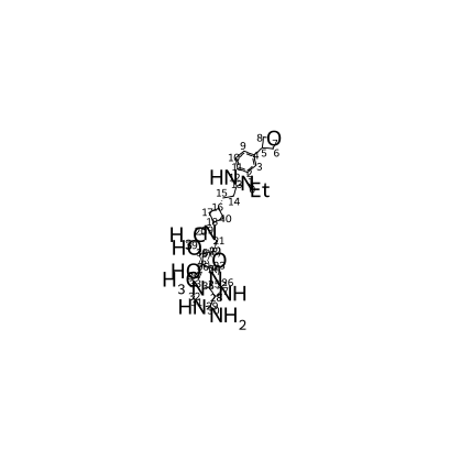 CCN1c2cc(C3COC3)ccc2NC1CC[C@H]1C[C@@H](N(C)C[C@H]2O[C@@H](N3CNC4C(N)NCN(C)C43)[C@H](O)[C@@H]2O)C1